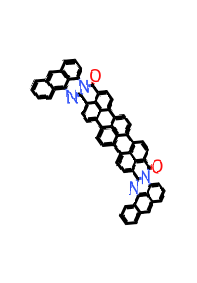 O=c1c2ccc3c4ccc5c6ccc7c(=O)n8c9cccc%10cc%11ccccc%11c(nc8c8ccc(c%11ccc(c%12ccc(c2c3%12)c2nc3c%12ccccc%12cc%12cccc(c%123)n12)c4c5%11)c6c78)c%109